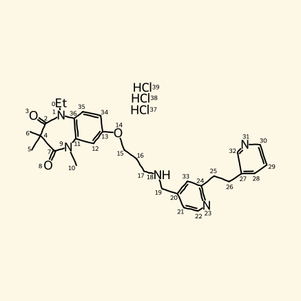 CCN1C(=O)C(C)(C)C(=O)N(C)c2cc(OCCCNCc3ccnc(CCc4cccnc4)c3)ccc21.Cl.Cl.Cl